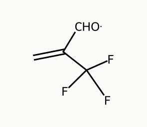 C=C([C]=O)C(F)(F)F